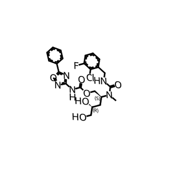 CN(C(=O)NCc1cccc(F)c1Cl)[C@H](COC(=O)Nc1noc(-c2ccccc2)n1)C[C@@H](O)CO